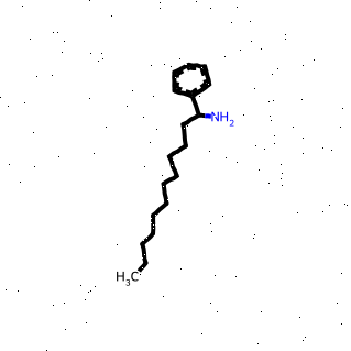 CCCCCCCCCCCC(N)c1ccccc1